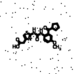 COc1ccc(NC(=O)Nc2nc(CC(=O)O)cs2)c(C(=O)C2CCCC2)c1